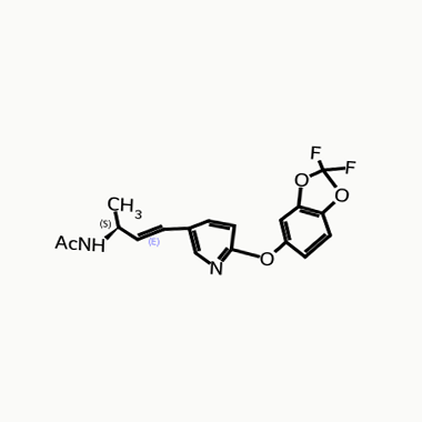 CC(=O)N[C@@H](C)/C=C/c1ccc(Oc2ccc3c(c2)OC(F)(F)O3)nc1